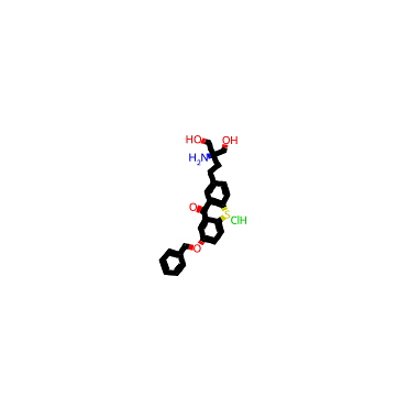 Cl.NC(CO)(CO)CCc1ccc2sc3ccc(OCc4ccccc4)cc3c(=O)c2c1